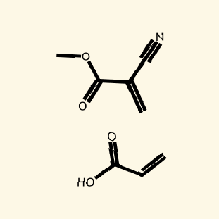 C=C(C#N)C(=O)OC.C=CC(=O)O